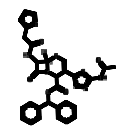 CC(=O)Nc1nnc(C2=CS[C@H]3C(NC(=O)Cc4cccs4)C(=O)N3C2C(=O)OC(c2ccccc2)c2ccccc2)s1